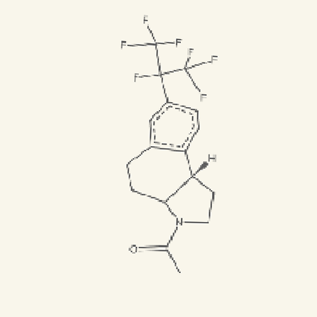 CC(=O)N1CC[C@H]2c3ccc(C(F)(C(F)(F)F)C(F)(F)F)cc3CCC21